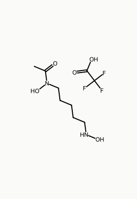 CC(=O)N(O)CCCCCNO.O=C(O)C(F)(F)F